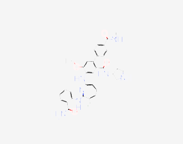 CNC(=O)c1ccc(-c2cc(OC)c(NC3=C=CC=C(Cl)C(Nc4ccccc4C(N)=O)=N3)cc2C(=O)N[C@@H]2CCNC2)cc1